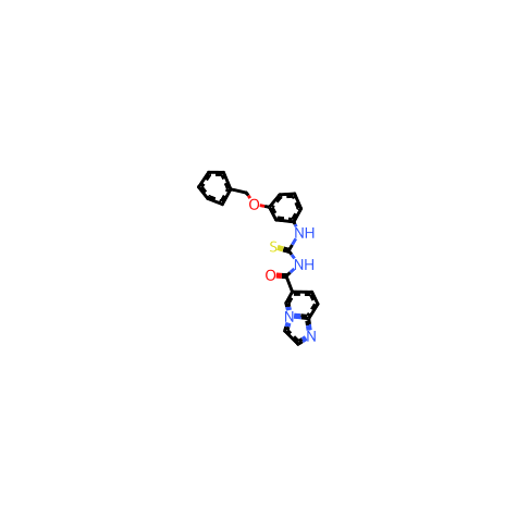 O=C(NC(=S)Nc1cccc(OCc2ccccc2)c1)c1ccc2nccn2c1